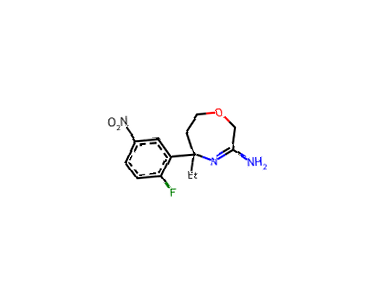 CCC1(c2cc([N+](=O)[O-])ccc2F)CCOCC(N)=N1